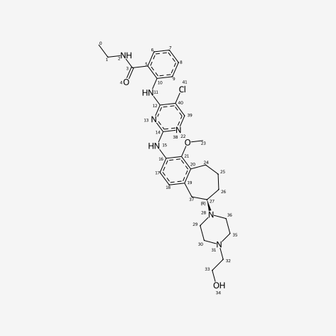 CCNC(=O)c1ccccc1Nc1nc(Nc2ccc3c(c2OC)CCC[C@@H](N2CCN(CCO)CC2)C3)ncc1Cl